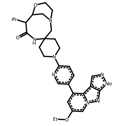 CCOc1cc(-c2ccc(N3CCC4(CC3)CN3CCOC(C3)C(C(C)C)C(=O)N4)nc2)c2c3cn[nH]c3nn2c1